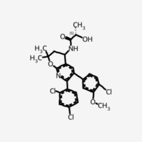 COc1cc(-c2cc3c(nc2-c2ccc(Cl)cc2Cl)OC(C)(C)CC3NC(=O)[C@H](C)O)ccc1Cl